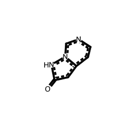 O=c1cc2ccncn2[nH]1